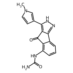 Cn1ccc(-c2[nH]nc3c2C(=O)c2c(NC(N)=O)cccc2-3)c1